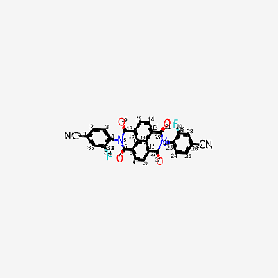 N#Cc1ccc(N2C(=O)c3ccc4c5c(ccc(c35)C2=O)C(=O)N(c2ccc(C#N)cc2F)C4=O)c(F)c1